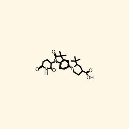 CC1(C)C(=O)N(C2CCC(=O)NC2=O)c2ccc(N3CCC(C(=O)O)CC3C(C)(C)C)cc21